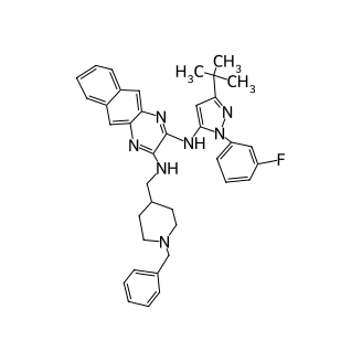 CC(C)(C)c1cc(Nc2nc3cc4ccccc4cc3nc2NCC2CCN(Cc3ccccc3)CC2)n(-c2cccc(F)c2)n1